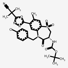 Cc1cc2c(cc1-c1nnc(C(C)(C)C#N)o1)N(Cc1ccc(Cl)cc1)C(=O)[C@@H](NC(=O)OC(C)(C)C)CS2(=O)=O